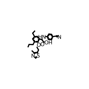 CCCc1cc(CC)cc([C@@H](Nc2ccc(C#N)cc2)C(=O)O)c1OCCc1scnc1C